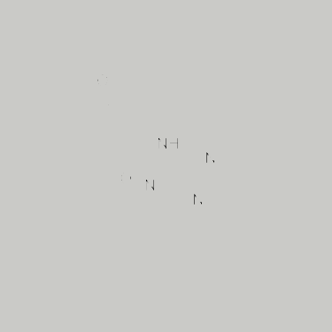 COc1ccc(OC)c(Nc2nc3ccccc3nc2N2C=CC=CC2C)c1